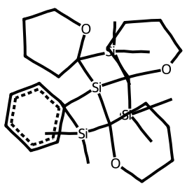 C[Si](C)(C)C1([Si](c2ccccc2)(C2([Si](C)(C)C)CCCCO2)C2([Si](C)(C)C)CCCCO2)CCCCO1